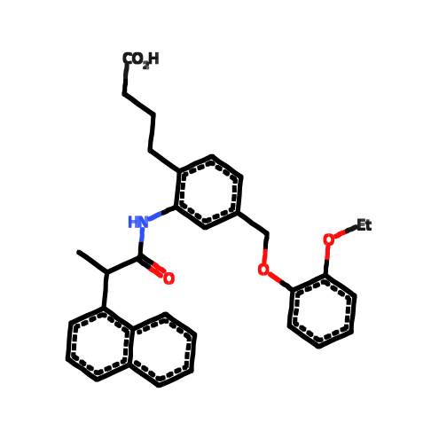 CCOc1ccccc1OCc1ccc(CCCC(=O)O)c(NC(=O)C(C)c2cccc3ccccc23)c1